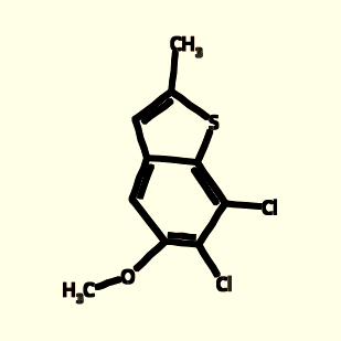 COc1cc2cc(C)sc2c(Cl)c1Cl